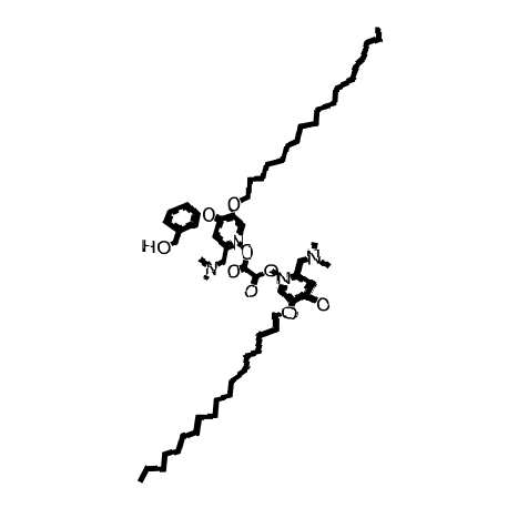 CCCCCCCCCCCCCCCCCCOc1cn(OC(=O)C(=O)On2cc(OCCCCCCCCCCCCCCCCCC)c(=O)cc2CN(C)C)c(CN(C)C)cc1=O.OCc1ccccc1